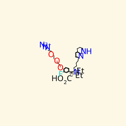 CCN(CC)C(CCCCc1ccc2c(n1)NCCC2)[C@H](CC(=O)O)c1ccc(OCCOCCOCCN=[N+]=[N-])c(F)c1